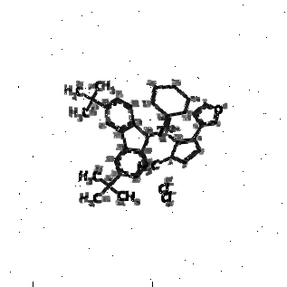 CC1C=CC(c2ccoc2)=[C]1[Zr+2](=[C]1CCCCC1)[CH]1c2ccc(C(C)(C)C)cc2-c2cc(C(C)(C)C)ccc21.[Cl-].[Cl-]